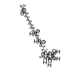 CC(=O)N[C@H]1[C@H](OCCCCC(=O)NCCCNC(=O)CCCCCCCCCCC(=O)OC(C)(C)C)O[C@H](CO)[C@H](O)[C@@H]1O